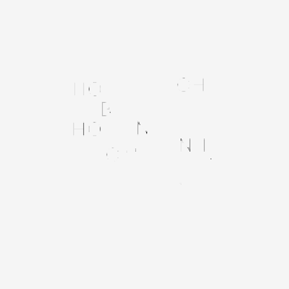 NC1C2CCC(C2)C1C(=O)N1C[C@@H](O)C[C@H]1B(O)O